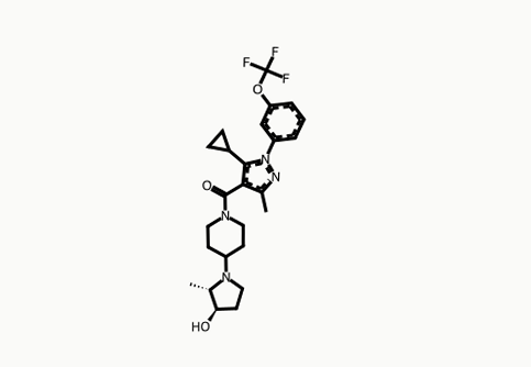 Cc1nn(-c2cccc(OC(F)(F)F)c2)c(C2CC2)c1C(=O)N1CCC(N2CC[C@@H](O)[C@@H]2C)CC1